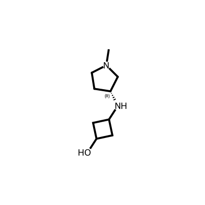 CN1CC[C@@H](NC2CC(O)C2)C1